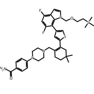 CC1(C)CCC(CN2CCN(c3ccc(C(N)=O)cc3)CC2)=C(c2cc(-c3c(F)cc(F)c4ccn(COCC[Si](C)(C)C)c34)cs2)C1